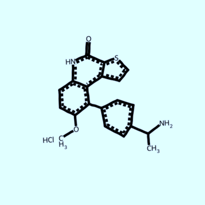 COc1ccc2[nH]c(=O)c3sccc3c2c1-c1ccc(C(C)N)cc1.Cl